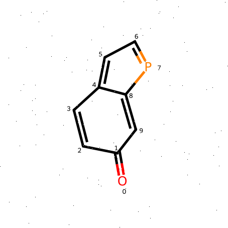 O=C1C=CC2=CC=PC2=C1